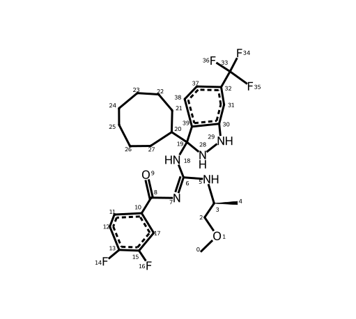 COC[C@H](C)N/C(=N/C(=O)c1ccc(F)c(F)c1)NC1(C2CCCCCCC2)NNc2cc(C(F)(F)F)ccc21